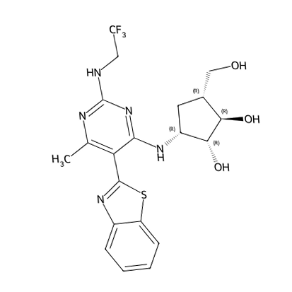 Cc1nc(NCC(F)(F)F)nc(N[C@@H]2C[C@H](CO)[C@@H](O)[C@@H]2O)c1-c1nc2ccccc2s1